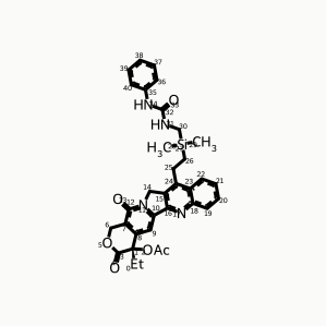 CC[C@@]1(OC(C)=O)C(=O)OCc2c1cc1n(c2=O)Cc2c-1nc1ccccc1c2CC[Si](C)(C)CNC(=O)Nc1ccccc1